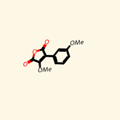 COC1=C(c2cccc(OC)c2)C(=O)OC1=O